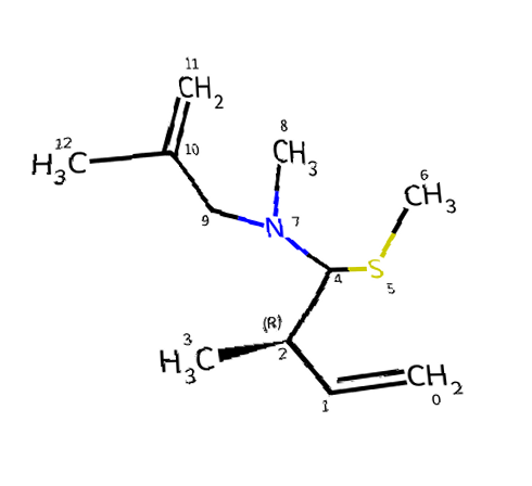 C=C[C@@H](C)C(SC)N(C)CC(=C)C